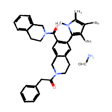 CCCCc1c(CCCC)c(-c2cc3c(cc2C(=O)N2CCc4ccccc4C2)CN(C(=O)Cc2ccccc2)CC3)n(C)c1C.NC=O